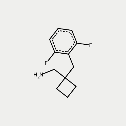 NCC1(Cc2c(F)cccc2F)CCC1